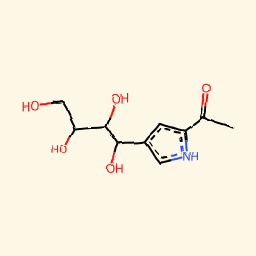 CC(=O)c1cc(C(O)C(O)C(O)CO)c[nH]1